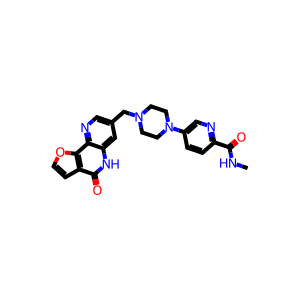 CNC(=O)c1ccc(N2CCN(Cc3cnc4c(c3)[nH]c(=O)c3ccoc34)CC2)cn1